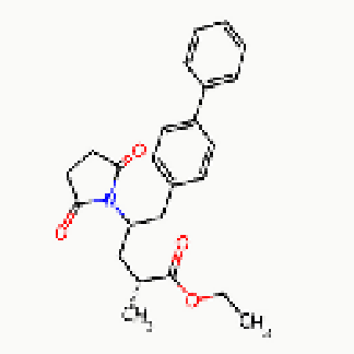 CCOC(=O)[C@H](C)CC(Cc1ccc(-c2ccccc2)cc1)N1C(=O)CCC1=O